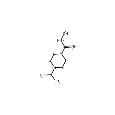 CC(C)N1CCC(C(=N)NO)CC1